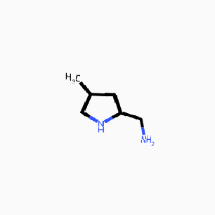 CC1CNC(CN)C1